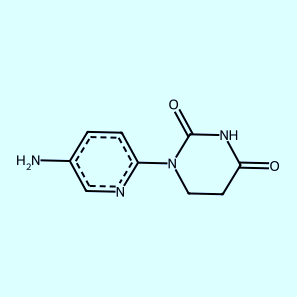 Nc1ccc(N2CCC(=O)NC2=O)nc1